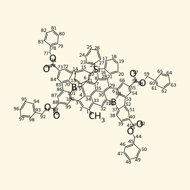 Cc1cc2c3c(cc4c([Si](c5ccccc5)(c5ccccc5)c5ccccc5)cc5c6c(cc1c3c46)B1c3ccc(C(=O)OCc4ccccc4)cc3-c3cc(C(=O)OCc4ccccc4)cc-5c31)B1c3ccc(C(=O)OCc4ccccc4)cc3-c3cc(C(=O)OCc4ccccc4)cc-2c31